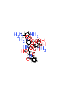 NCC1CC[C@H](N)[C@@H](OC2C(N)CC(NC(=O)C(O)CCN3C(=O)c4ccccc4C3=O)[C@@H](O[C@@H]3OC(CO)[C@H](O)C(N)[C@@H]3O)[C@H]2O)O1